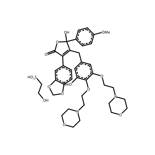 COc1ccc(C2(O)OC(=O)C(c3ccc4c(c3)OCO4)=C2Cc2cc(OC)c(OCCN3CCOCC3)c(OCCN3CCOCC3)c2)cc1.O=S(=O)(O)CCO